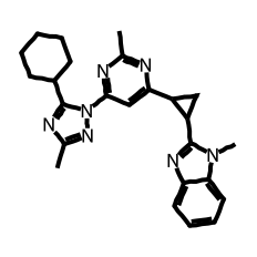 Cc1nc(C2CC2c2nc3ccccc3n2C)cc(-n2nc(C)nc2C2CCCCC2)n1